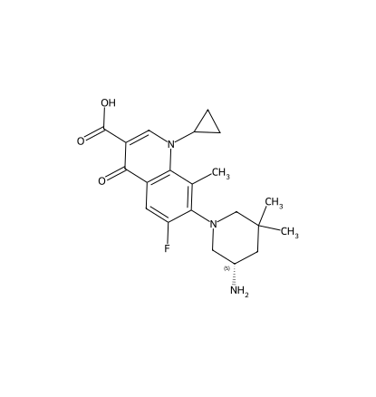 Cc1c(N2C[C@@H](N)CC(C)(C)C2)c(F)cc2c(=O)c(C(=O)O)cn(C3CC3)c12